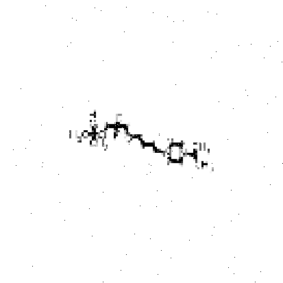 CC(C)N1CCN(CCCCOCC(F)(F)COC(C)(C)C)CC1